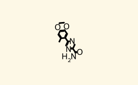 Cc1cc2c(cc1-c1cnc(C(N)=O)cn1)OCCO2